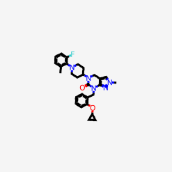 Cc1cccc(F)c1N1CCC(N2Cc3cn(C)nc3N(Cc3ccccc3OC3CC3)C2=O)CC1